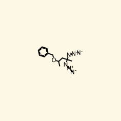 CC(CC(C)(N=[N+]=[N-])N=[N+]=[N-])OCc1ccccc1